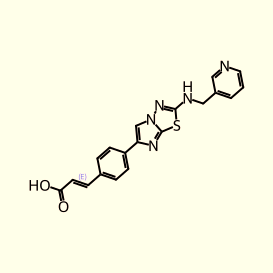 O=C(O)/C=C/c1ccc(-c2cn3nc(NCc4cccnc4)sc3n2)cc1